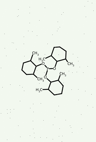 CC1CCCC(C)C1OP(OC1C(C)CCCC1C)OC1C(C)CCCC1C